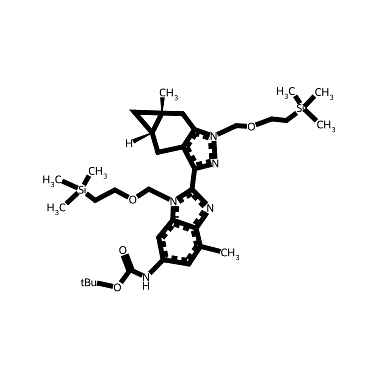 Cc1cc(NC(=O)OC(C)(C)C)cc2c1nc(-c1nn(COCC[Si](C)(C)C)c3c1C[C@@H]1C[C@]1(C)C3)n2COCC[Si](C)(C)C